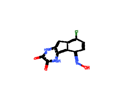 O=c1[nH]c2c([nH]c1=O)=C1C(=NO)C=CC(Cl)=C1C=2